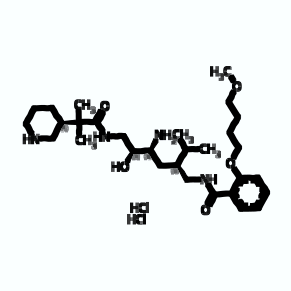 COCCCCOc1ccccc1C(=O)NC[C@@H](C[C@H](N)[C@@H](O)CNC(=O)C(C)(C)[C@@H]1CCCNC1)C(C)C.Cl.Cl